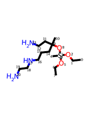 CCO[Si](C)(OCC)OC(C)(CCN)CCCNCCN